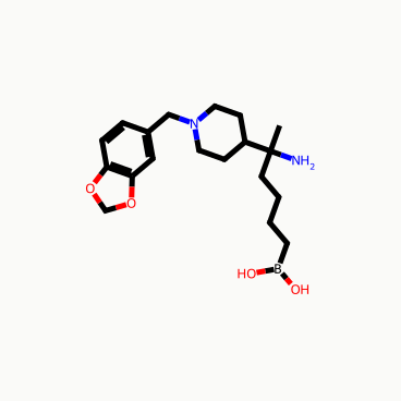 CC(N)(CCCCB(O)O)C1CCN(Cc2ccc3c(c2)OCO3)CC1